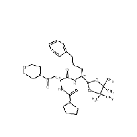 CC1(C)OB([C@H](CCCc2ccccc2)NC(=O)[C@@H](CC(=O)N2CCOCC2)NC(=O)N2CCCC2)OC1(C)C